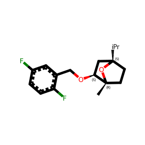 CC(C)[C@@]12CC[C@@](C)(O1)[C@@H](OCc1cc(F)ccc1F)C2